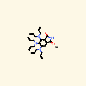 C=CCN(CC=C)c1cc2c(c(N(CC=C)CC=C)c1N(CC=C)CC=C)C(=O)NC2=O.[Ta]